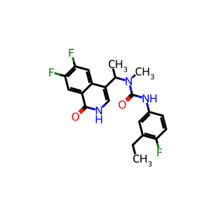 CCc1cc(NC(=O)N(C)C(C)c2c[nH]c(=O)c3cc(F)c(F)cc23)ccc1F